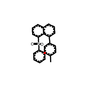 Cc1ccc(-c2cccc3cccc(S(=O)(=O)c4ccccc4)c23)cc1